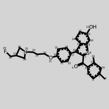 Cc1ccc(C(=O)c2sc3cc(O)ccc3c2-c2ccc(OCCCN3CC(CF)C3)cc2)c(C)c1